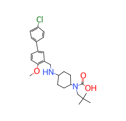 COc1ccc(-c2ccc(Cl)cc2)cc1CNC1CCC(N(CC(C)(C)C)C(=O)O)CC1